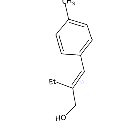 CC/C(=C\c1ccc(C)cc1)CO